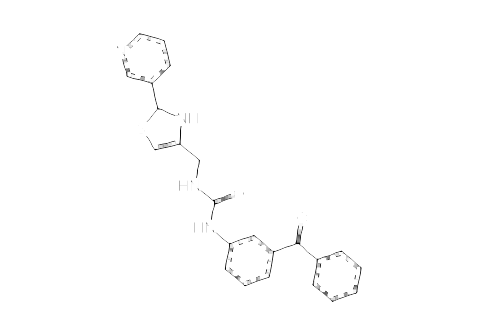 O=C(NCC1=CSC(c2cccnc2)N1)Nc1cccc(C(=O)c2ccccc2)c1